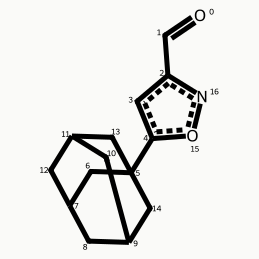 O=Cc1cc(C23CC4CC(CC(C4)C2)C3)on1